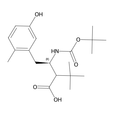 Cc1ccc(O)cc1C[C@@H](NC(=O)OC(C)(C)C)C(C(=O)O)C(C)(C)C